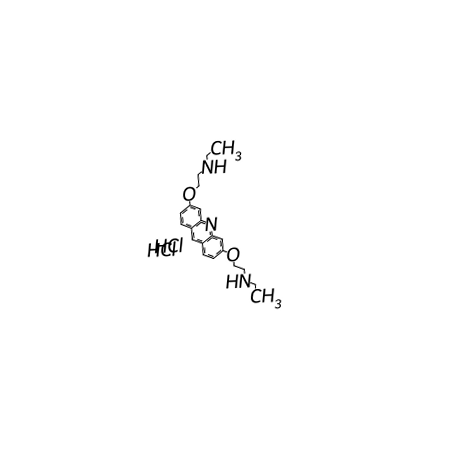 CCNCCOc1ccc2cc3ccc(OCCNCC)cc3nc2c1.Cl.Cl